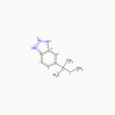 CCC(C)(C)c1ccc2[nH]nnc2c1